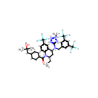 CC[C@@H]1C[C@H](N(Cc2cc(C(F)(F)F)cc(C(F)(F)F)c2)c2nnn(C)n2)c2cc(C(F)(F)F)ccc2N1C(=O)C1CCC(CC(C)(C)O)CC1